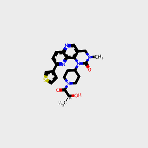 C[C@@H](O)C(=O)N1CCC(N2C(=O)N(C)Cc3cnc4ccc(-c5ccsc5)nc4c32)CC1